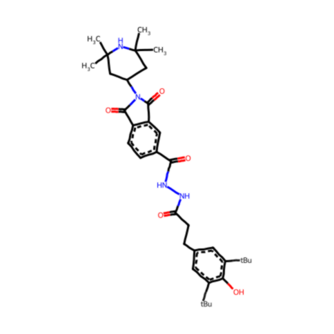 CC1(C)CC(N2C(=O)c3ccc(C(=O)NNC(=O)CCc4cc(C(C)(C)C)c(O)c(C(C)(C)C)c4)cc3C2=O)CC(C)(C)N1